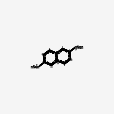 CCCCCCCCCc1ccc2cc(CCCCCCCCC)ccc2c1